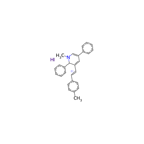 Cc1ccc(/C=C/C2=CC(c3ccccc3)=CN(C)C2c2ccccc2)cc1.I